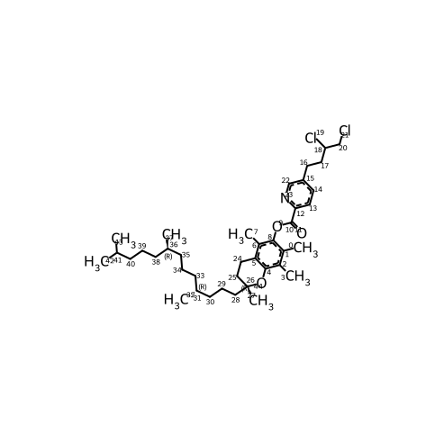 Cc1c(C)c2c(c(C)c1OC(=O)c1ccc(CCC(Cl)CCl)cn1)CC[C@@](C)(CCC[C@H](C)CCC[C@H](C)CCCC(C)C)O2